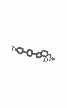 COc1ccc(-c2ccc(-c3ccc4c(c3)CCC(CN(C)C)C4OC)cc2)cc1